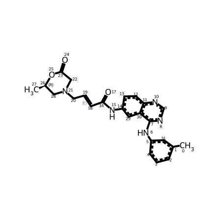 Cc1cccc(Nc2ncnc3ccc(NC(=O)/C=C/CN4CC(=O)O[C@H](C)C4)cc23)c1